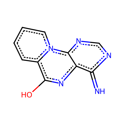 N=c1ncnc2n3ccccc3c(O)nc1-2